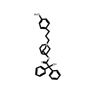 COc1ccc(CCC[N+]23CCC(CC2)C(OC(=O)C(O)(c2ccccc2)c2ccccc2)C3)cc1